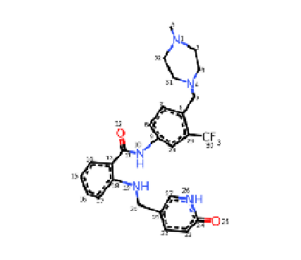 CN1CCN(Cc2ccc(NC(=O)c3ccccc3NCc3ccc(=O)[nH]c3)cc2C(F)(F)F)CC1